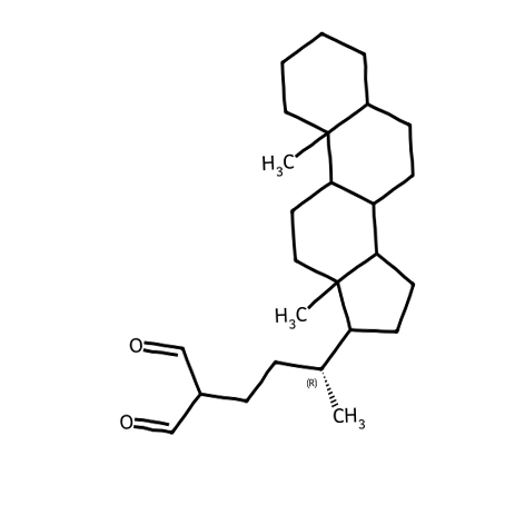 C[C@H](CCC(C=O)C=O)C1CCC2C3CCC4CCCCC4(C)C3CCC21C